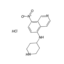 Cl.O=[N+]([O-])c1ccc(NC2CCNCC2)c2ccncc12